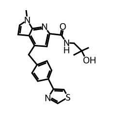 Cn1ccc2c(Cc3ccc(-c4cscn4)cc3)cc(C(=O)NCC(C)(C)O)nc21